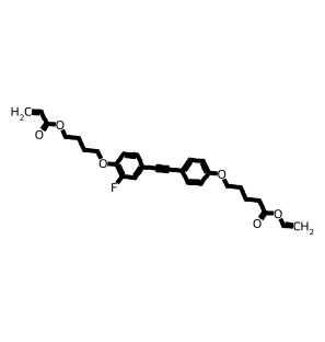 C=COC(=O)CCCCOc1ccc(C#Cc2ccc(OCCCCOC(=O)C=C)c(F)c2)cc1